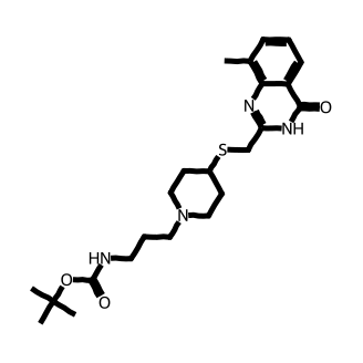 Cc1cccc2c(=O)[nH]c(CSC3CCN(CCCNC(=O)OC(C)(C)C)CC3)nc12